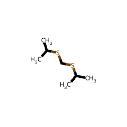 CC(C)SCSC(C)C